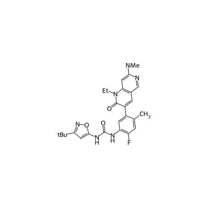 CCn1c(=O)c(-c2cc(NC(=O)Nc3cc(C(C)(C)C)no3)c(F)cc2C)cc2cnc(NC)cc21